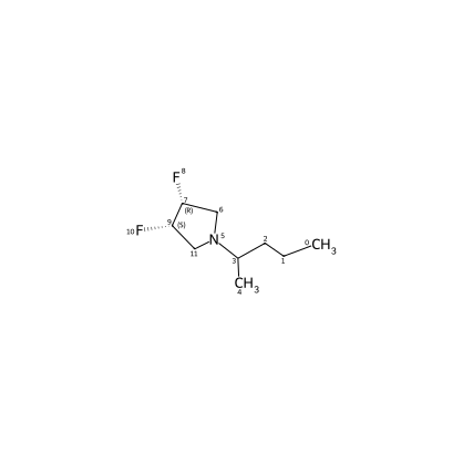 CCCC(C)N1C[C@@H](F)[C@@H](F)C1